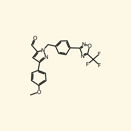 COc1ccc(-c2cc(C=O)n(Cc3ccc(-c4noc(C(F)(F)F)n4)cc3)n2)cc1